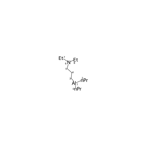 CC[CH2][Al]([CH2]CC)[CH2]CCN(CC)CC